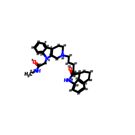 CNC(=O)Cn1c2c(c3ccccc31)CCN(CCCCC13CCCc4cccc(c41)NC3=O)C2